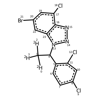 [2H]C([2H])([2H])C(c1ccc(Cl)cc1Cl)n1nnc2c(Cl)cc(Br)cc21